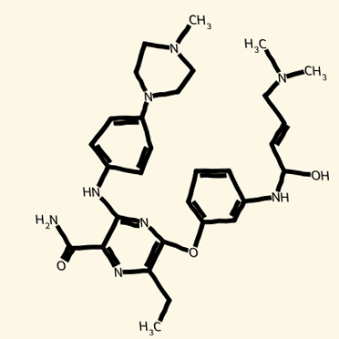 CCc1nc(C(N)=O)c(Nc2ccc(N3CCN(C)CC3)cc2)nc1Oc1cccc(NC(O)/C=C/CN(C)C)c1